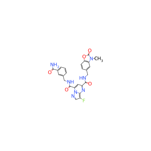 Cn1c(=O)oc2ccc(CNC(=O)c3cc(C(=O)NCc4cccc(C(N)=O)c4)n4ncc(F)c4n3)cc21